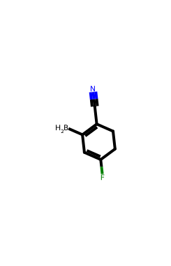 BC1=C(C#N)CCC(F)=C1